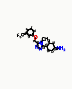 Cn1c(COc2cccc(C(F)(F)F)c2)nnc1C1CCC(N)CC1